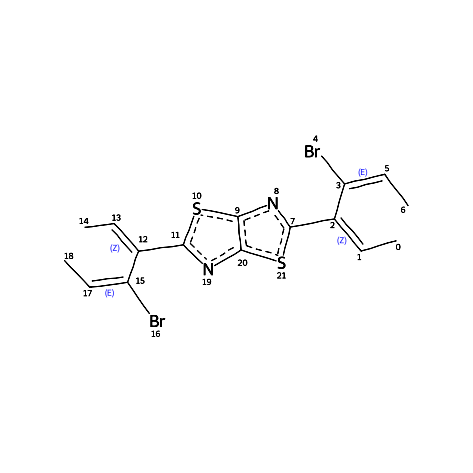 C/C=C(\C(Br)=C/C)c1nc2sc(C(=C/C)/C(Br)=C\C)nc2s1